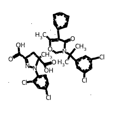 CC1(C(=O)O)CC(C(=O)O)=NN1c1ccc(Cl)cc1Cl.CC1=C(c2ccccc2)C(=O)N(C(C)(C)c2cc(Cl)cc(Cl)c2)CO1